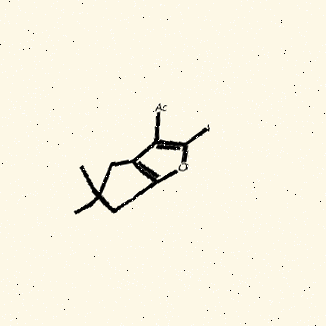 CC(=O)c1c(I)oc2c1CC(C)(C)CC2